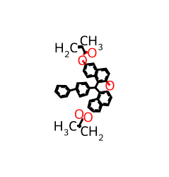 C=C(C)C(=O)Oc1ccc2c3c(ccc2c1)Oc1ccc2cc(OC(=O)C(=C)C)ccc2c1C3c1ccc(-c2ccccc2)cc1